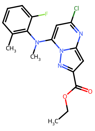 CCOC(=O)c1cc2nc(Cl)cc(N(C)c3c(C)cccc3F)n2n1